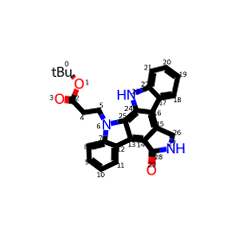 CC(C)(C)OC(=O)CCn1c2ccccc2c2c3c(c4c5ccccc5[nH]c4c21)CNC3=O